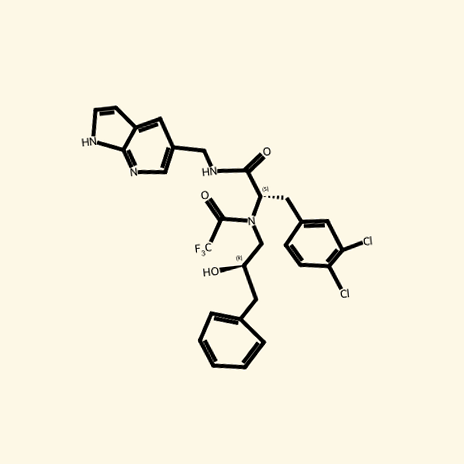 O=C(NCc1cnc2[nH]ccc2c1)[C@H](Cc1ccc(Cl)c(Cl)c1)N(C[C@H](O)Cc1ccccc1)C(=O)C(F)(F)F